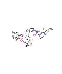 Cc1ccc(NC(=O)c2ccnc(C(C)(F)F)c2)cc1-c1cnc2c(c1)[C@@]1(C)CCOCC[C@@H]1C(=O)N2CCO[Si](C)(C)C(C)(C)C